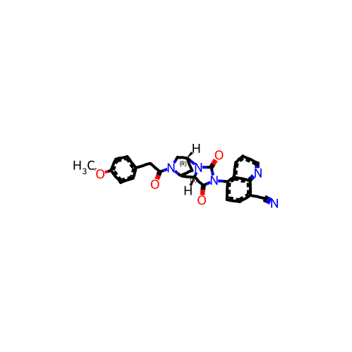 COc1ccc(CC(=O)N2C[C@H]3CC2[C@H]2C(=O)N(c4ccc(C#N)c5ncccc45)C(=O)N32)cc1